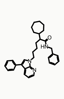 O=C(NCc1ccccc1)C(CCCCn1cc(-c2ccccc2)c2cccnc21)C1CCCCCC1